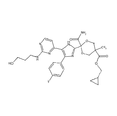 CC1(C(=O)OCC2CC2)COC(C(N)=O)(c2nc(-c3ccc(F)cc3)c(-c3ccnc(NCCCO)n3)[nH]2)OC1